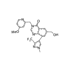 COc1ccnc(Cn2cnc3c(-c4cn(C)nc4C(F)(F)F)cc(CO)cc3c2=O)c1